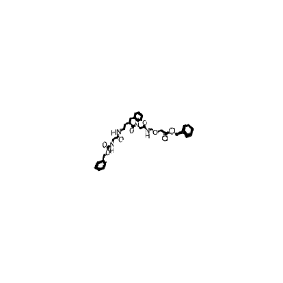 O=C(CNC(=O)OCc1ccccc1)NCCC(Cc1ccccc1)C(=O)NCC(=O)NCOCC(=O)OCc1ccccc1